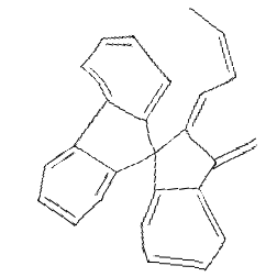 C=C1/C(=C\C=C/C)C2(c3ccccc31)c1ccccc1-c1ccccc12